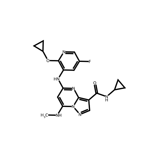 CNc1cc(Nc2cc(F)cnc2OC2CC2)nc2c(C(=O)NC3CC3)cnn12